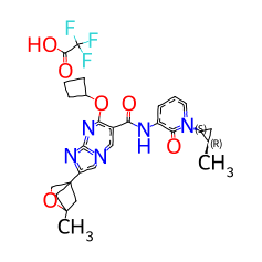 C[C@@H]1C[C@@H]1n1cccc(NC(=O)c2cn3cc(C45COC(C)(C4)C5)nc3nc2OC2CCC2)c1=O.O=C(O)C(F)(F)F